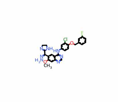 COc1cc2ncnc(Nc3ccc(OCc4cccc(F)c4)c(Cl)c3)c2cc1/C(=N\N)C1=NCCN1